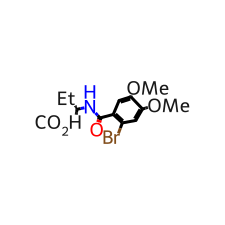 CC[C@@H](NC(=O)c1cc(OC)c(OC)cc1Br)C(=O)O